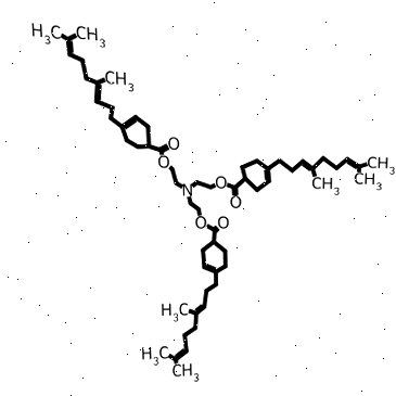 CC(C)=CCC/C(C)=C/CCC1=CCC(C(=O)OCCN(CCOC(=O)C2CC=C(CC/C=C(\C)CCC=C(C)C)CC2)CCOC(=O)C2CC=C(CC/C=C(\C)CCC=C(C)C)CC2)CC1